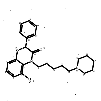 Cc1cccc2c1N(CCCCCN1CCCCC1)C(=O)C(c1ccccc1)O2